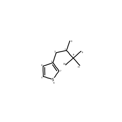 CC(Cc1ccsc1)C(C)(C)C